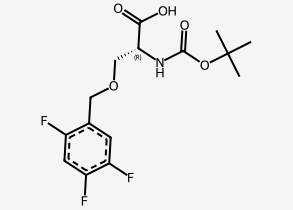 CC(C)(C)OC(=O)N[C@H](COCc1cc(F)c(F)cc1F)C(=O)O